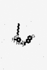 CCCCCCCCOc1ccc(Nc2nc(-c3ccc4cc(OC)ccc4c3)cs2)cc1C(F)(F)F